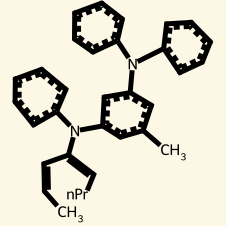 C/C=C\C(=C/CCC)N(c1ccccc1)c1cc(C)cc(N(c2ccccc2)c2ccccc2)c1